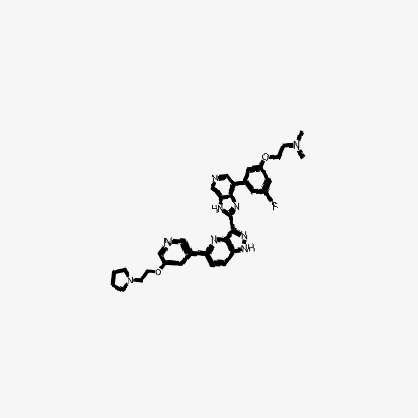 CN(C)CCOc1cc(F)cc(-c2cncc3[nH]c(-c4n[nH]c5ccc(-c6cncc(OCCN7CCCC7)c6)nc45)nc23)c1